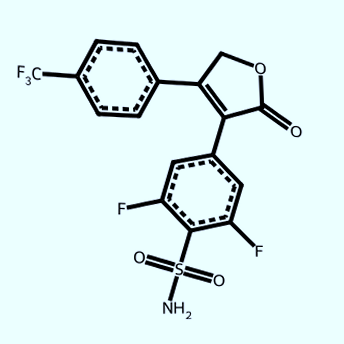 NS(=O)(=O)c1c(F)cc(C2=C(c3ccc(C(F)(F)F)cc3)COC2=O)cc1F